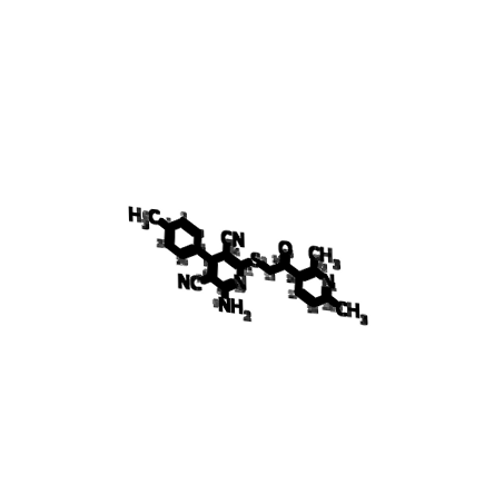 Cc1ccc(-c2c(C#N)c(N)nc(SCC(=O)c3ccc(C)nc3C)c2C#N)cc1